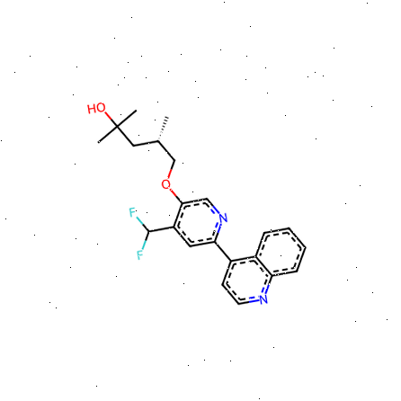 C[C@H](COc1cnc(-c2ccnc3ccccc23)cc1C(F)F)CC(C)(C)O